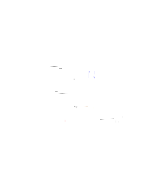 CC(C)CSC(=O)c1ccccc1.N